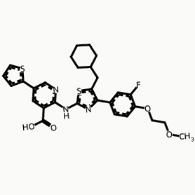 COCCOc1ccc(-c2nc(Nc3ncc(-c4cccs4)cc3C(=O)O)sc2CC2CCCCC2)cc1F